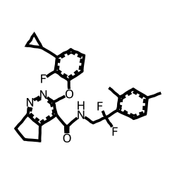 Cc1ccc(C(F)(F)CNC(=O)c2c(Oc3cccc(C4CC4)c3F)nnc3c2CCC3)c(C)c1